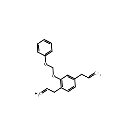 C=CCc1ccc(CC=C)c(OCOc2ccccc2)c1